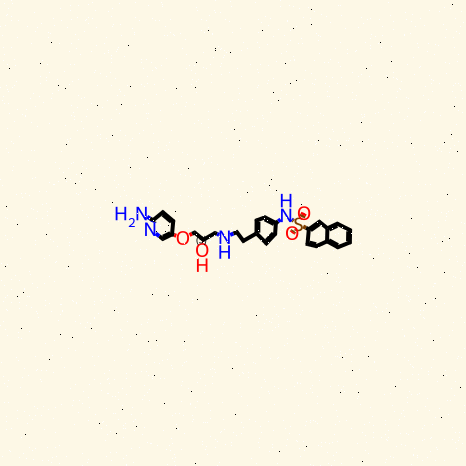 Nc1ccc(OC[C@@H](O)CNCCc2ccc(NS(=O)(=O)c3ccc4ccccc4c3)cc2)cn1